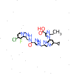 CCc1nc(C(=O)O)cn1-c1cc(C2CC2)cn2cc(Cn3cc(C(=O)NCc4ncn5ccc(Cl)c(F)c45)nn3)nc12